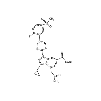 CNC(=O)c1cc(CC(N)=O)c2c(C3CC3)nn(-c3ncc(-c4cc(S(C)(=O)=O)ccc4F)cn3)c2c1